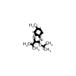 Cc1ccc2nc(OC(C)C)c(C(C)C)nc2c1